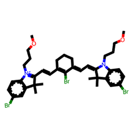 COCCCN1/C(=C/C=C2\CCCC(/C=C/C3=[N+](CCCOC)c4ccc(Br)cc4C3(C)C)=C2Br)C(C)(C)c2cc(Br)ccc21